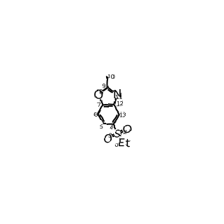 CCS(=O)(=O)c1ccc2oc(C)nc2c1